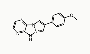 COc1ccc(-c2cn3c4nccnc4[nH][n+]3c2)cc1